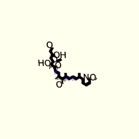 COc1cccc(C(C)/C=C/C=C(\C)[C@@H](C=O)[C@@H](C)/C=C/[C@H](OC(C)=O)[C@@](C)(O)CC[C@H](O)CC=O)n1